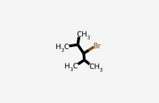 CC(C)C(Br)C(C)C